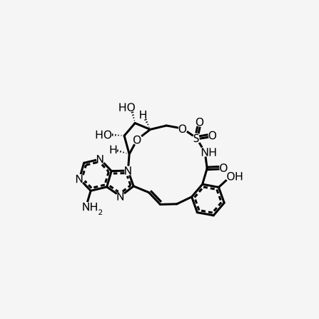 Nc1ncnc2c1nc1n2[C@@H]2O[C@H](COS(=O)(=O)NC(=O)c3c(O)cccc3C/C=C/1)[C@@H](O)[C@H]2O